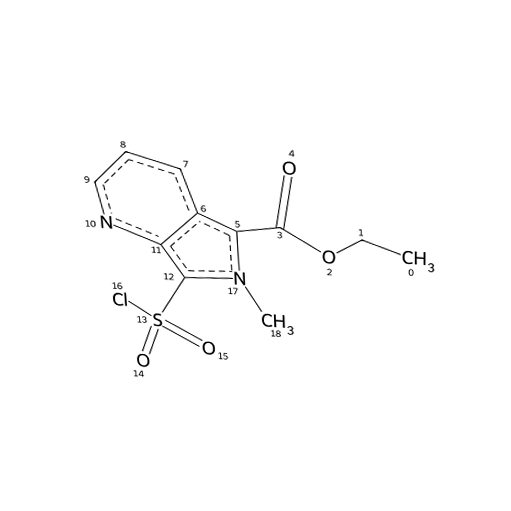 CCOC(=O)c1c2cccnc2c(S(=O)(=O)Cl)n1C